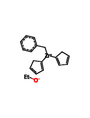 C1=CC[C]([Zr+]([CH2]c2ccccc2)[C]2=CC=CC2)=C1.CC[O-]